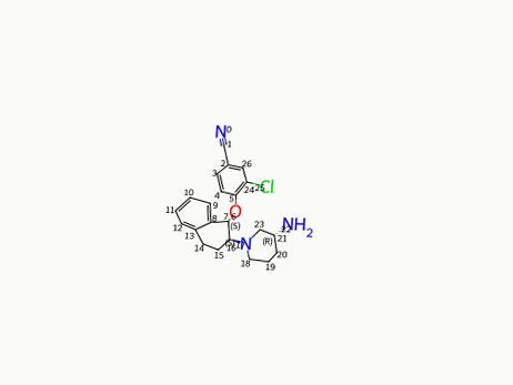 N#Cc1ccc(O[C@H]2c3ccccc3CC[C@@H]2N2CCC[C@@H](N)C2)c(Cl)c1